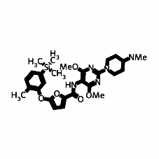 CNC1CCN(c2nc(OC)c(NC(=O)c3ccc(Oc4cc([Si](C)(C)C)ccc4C)o3)c(OC)n2)CC1